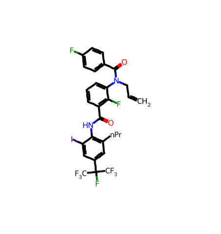 C=CCN(C(=O)c1ccc(F)cc1)c1cccc(C(=O)Nc2c(I)cc(C(F)(C(F)(F)F)C(F)(F)F)cc2CCC)c1F